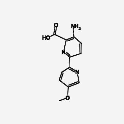 COc1ccc(-c2ccc(N)c(C(=O)O)n2)nc1